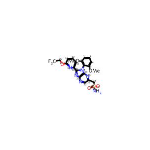 COc1cccc(OC)c1-n1c(-c2cccc(OCC(F)(F)F)n2)nc2ncc(CS(N)(=O)=O)nc21